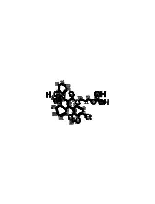 CCc1ccc(C2=C(C(=O)OCCCON(O)O)N(c3ccccc3C)S(=O)(=O)C3C=CC=CC23)c2c1OCO2